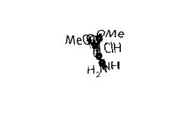 COC(=O)C[C@@H]1C[C@@H](COc2ccc(-c3ccc(C(=N)N)cc3)cc2)N(Cc2ccc(OC)cc2)C1=O.Cl